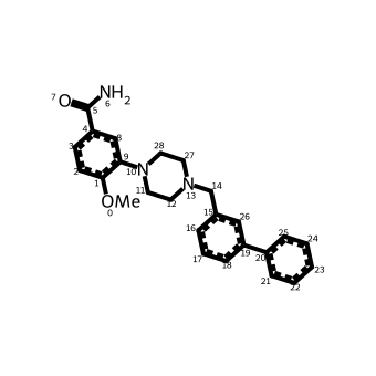 COc1ccc(C(N)=O)cc1N1CCN(Cc2cccc(-c3ccccc3)c2)CC1